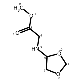 COC(=O)CNC1COCO1